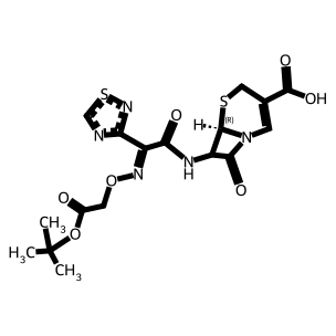 CC(C)(C)OC(=O)CON=C(C(=O)NC1C(=O)N2C=C(C(=O)O)CS[C@H]12)c1ncsn1